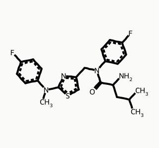 CC(C)CC(N)C(=O)N(Cc1csc(N(C)c2ccc(F)cc2)n1)c1ccc(F)cc1